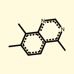 Cc1ccc2c(C)ncnc2c1C